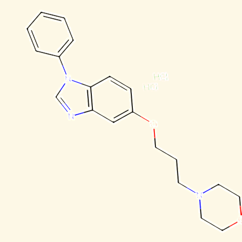 Cl.Cl.c1ccc(-n2cnc3cc(OCCCN4CCOCC4)ccc32)cc1